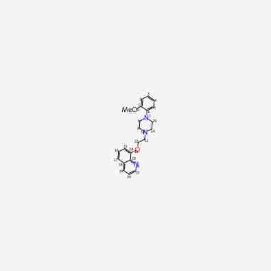 COc1ccccc1N1CCN(CCOc2cccc3cccnc23)CC1